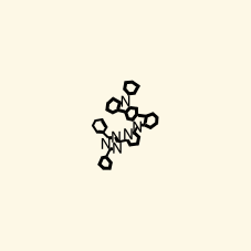 C1=CC(c2nc(-c3ccccc3)nc(-c3cccc(-n4c5ccccc5c5cc6c(cc54)c4ccccc4n6-c4ccccc4)n3)n2)=CCC1